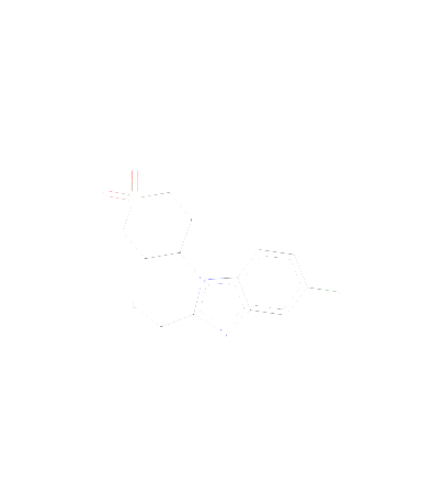 O=S1(=O)CCC(n2c(CCl)nc3cc(Cl)ccc32)CC1